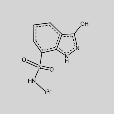 CC(C)NS(=O)(=O)c1cccc2c(O)n[nH]c12